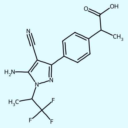 CC(C(=O)O)c1ccc(-c2nn(C(C)C(F)(F)F)c(N)c2C#N)cc1